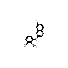 Nc1c(Cl)cccc1Oc1cnc2ccc(F)cc2c1